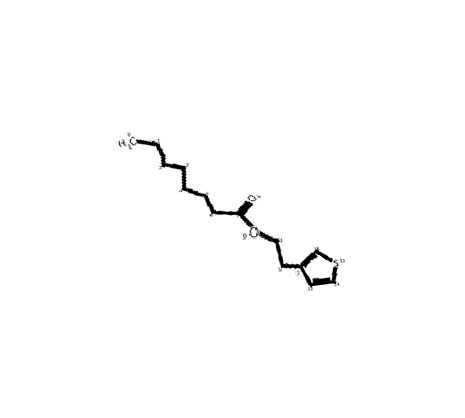 CCCCCCCC(=O)OCCc1ccsc1